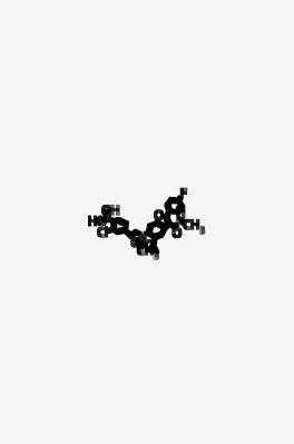 CNC(=O)c1c(-c2ccc(F)cc2)oc2cc(N(CCc3ccc(B(O)O)c(Cl)c3)S(C)(=O)=O)c(C3CC3)cc12